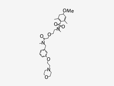 COC1C=C(C)C(S(=O)(=O)N(C)CCOCC(=O)N(C)Cc2cccc(OCCN3CCOCC3)c2)=C(C)C1